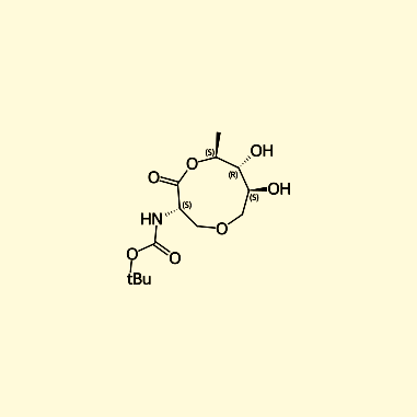 C[C@@H]1OC(=O)[C@@H](NC(=O)OC(C)(C)C)COC[C@H](O)[C@H]1O